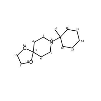 CC1(N2CCC3(CC2)OCCO3)CCCCC1